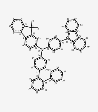 CC1(C)c2ccccc2-c2ccc(N(c3ccc(-c4nccnc4-c4ccccc4)cc3)c3ccc(-n4c5ccccc5c5ccccc54)cc3)cc21